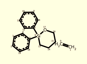 C=C.c1ccc([Si]2(c3ccccc3)CCCCO2)cc1